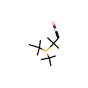 CC(C)(C)P(C(C)(C)C)C(C)(C)C=C=O